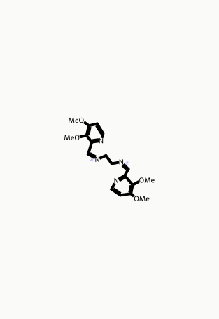 COc1ccnc(/C=N\CC/N=C\c2nccc(OC)c2OC)c1OC